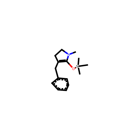 CN1CCC(Cc2ccccc2)=C1O[Si](C)(C)C